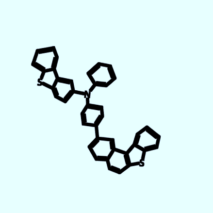 c1ccc(N(c2ccc(-c3ccc4ccc5sc6ccccc6c5c4c3)cc2)c2ccc3sc4ccccc4c3c2)cc1